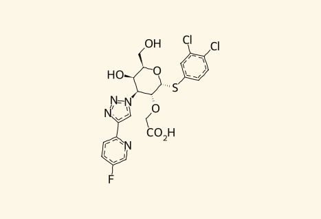 O=C(O)CO[C@@H]1[C@@H](n2cc(-c3ccc(F)cn3)nn2)[C@@H](O)[C@@H](CO)O[C@@H]1Sc1ccc(Cl)c(Cl)c1